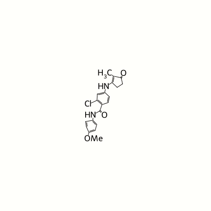 COc1ccc(NC(=O)c2ccc(NC3=C(C)C(=O)CC3)cc2Cl)cc1